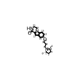 C[C@H]1CC[C@H](C)N1CCCOc1ccc2c(c1)cc1n2CCNC1=O